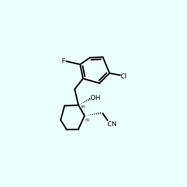 N#CC[C@@H]1CCCC[C@@]1(O)Cc1cc(Cl)ccc1F